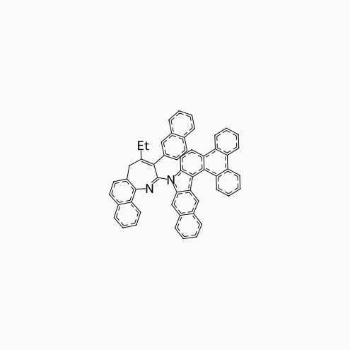 CCC1=C(c2ccc3ccccc3c2)C(n2c3cc4ccccc4cc3c3c4c5ccccc5c5ccccc5c4ccc32)=Nc2c(ccc3ccccc23)C1